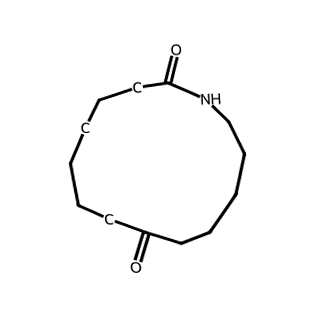 O=C1CCCCCCC(=O)NCCCCC1